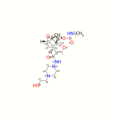 CNC(=O)O[C@@H]1OC=C(C(=O)NN2CCN(CCO)CC2)[C@H]2C[C@@H]3O[C@]3(C)[C@H]12